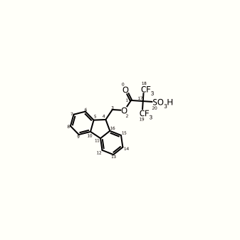 O=C(OCC1c2ccccc2-c2ccccc21)C(C(F)(F)F)(C(F)(F)F)S(=O)(=O)O